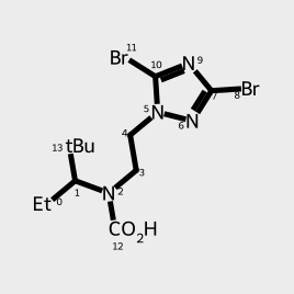 CCC(N(CCn1nc(Br)nc1Br)C(=O)O)C(C)(C)C